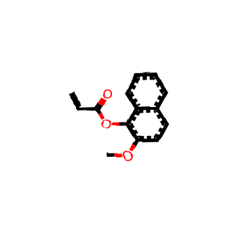 C=CC(=O)Oc1c(OC)ccc2ccccc12